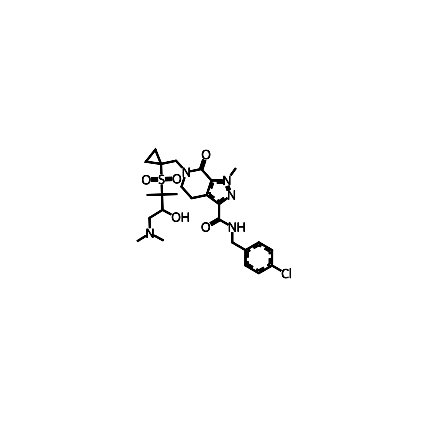 CN(C)CC(O)C(C)(C)S(=O)(=O)C1(CN2CCc3c(C(=O)NCc4ccc(Cl)cc4)nn(C)c3C2=O)CC1